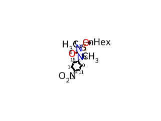 CCCCCCOSN(C)C(=O)N(C)c1ccc([N+](=O)[O-])cc1